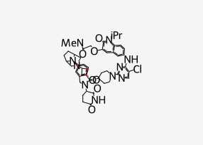 CNC(=O)COc1cc2cc(Nc3nc(N4CCC(O[C@H]5C[C@H](N6CC7CCC(C6)N7c6ccc7c(c6)CN(C6CCC(=O)NC6=O)C7=O)C5)CC4)ncc3Cl)ccc2n(C(C)C)c1=O